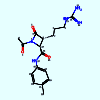 CC(=O)N1C(=O)[C@H](CCCNC(=N)N)[C@H]1C(=O)Nc1ccc(C)cc1